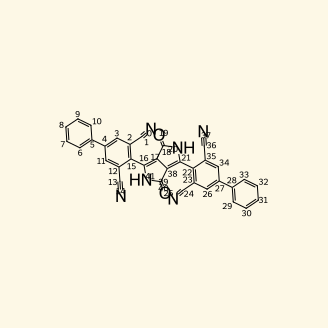 N#Cc1cc(-c2ccccc2)cc(C#N)c1C1=C2C(=O)NC(c3c(C#N)cc(-c4ccccc4)cc3C#N)=C2C(=O)N1